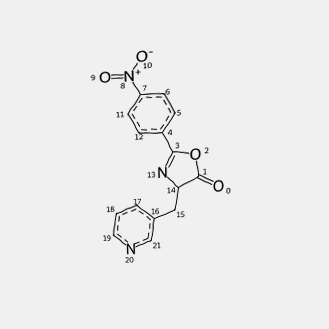 O=C1OC(c2ccc([N+](=O)[O-])cc2)=NC1Cc1cccnc1